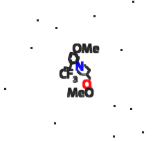 COCOCC1CCN(c2cc(OC)ccc2CCC(F)(F)F)CC1